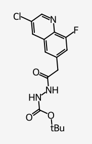 CC(C)(C)OC(=O)NNC(=O)Cc1cc(F)c2ncc(Cl)cc2c1